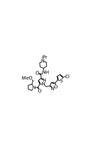 COCC1CCCN1C(=O)c1cc(C(=O)NC2CCN(C(C)C)CC2)nn1Cc1cc(-c2ccc(Cl)s2)on1